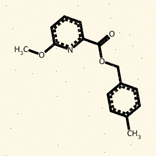 COc1cccc(C(=O)OCc2ccc(C)cc2)n1